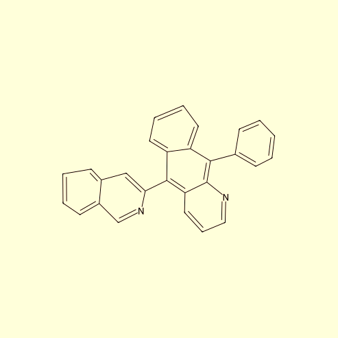 c1ccc(-c2c3ccccc3c(-c3cc4ccccc4cn3)c3cccnc23)cc1